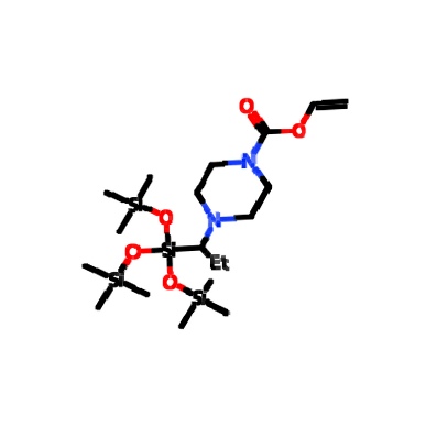 C=COC(=O)N1CCN(C(CC)[Si](O[Si](C)(C)C)(O[Si](C)(C)C)O[Si](C)(C)C)CC1